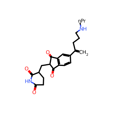 C=C(CCCNCCC)c1ccc2c(c1)C(=O)C(CC1CCC(=O)NC1=O)C2=O